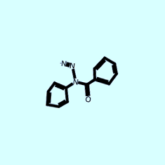 [N]=NN(C(=O)c1ccccc1)c1ccccc1